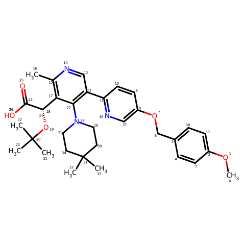 COc1ccc(COc2ccc(-c3cnc(C)c([C@H](OC(C)(C)C)C(=O)O)c3N3CCC(C)(C)CC3)nc2)cc1